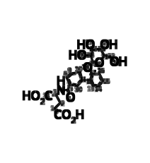 O=C(O)CC[C@H](NC(=O)c1cccc(-c2ccccc2O[C@@H]2O[C@H](CO)[C@@H](O)[C@H](O)[C@@H]2O)c1)C(=O)O